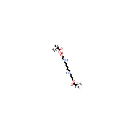 C=C(C)C(=O)OCCCCNCCCCCCNCCOOOC(=O)C(=C)C